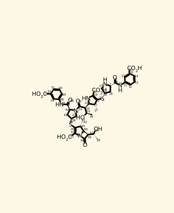 C[C@H]1C(S[C@@H]2CN[C@H](C(=O)Nc3cccc(C(=O)O)c3)C2)=C(C(=O)O)NC1[C@H](C(=O)N1C[C@@H](SC2=C(C(=O)O)N3C(=O)[C@H]([C@@H](C)O)C3[C@H]2C)C[C@H]1C(=O)Nc1cccc(C(=O)O)c1)[C@@H](C)O